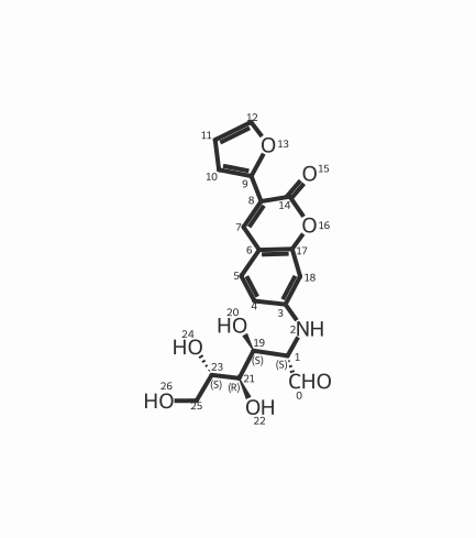 O=C[C@@H](Nc1ccc2cc(-c3ccco3)c(=O)oc2c1)[C@H](O)[C@@H](O)[C@@H](O)CO